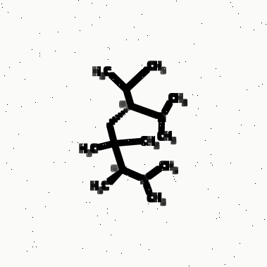 CC(C)[C@@H](CC(C)(C)[C@H](C)N(C)C)N(C)C